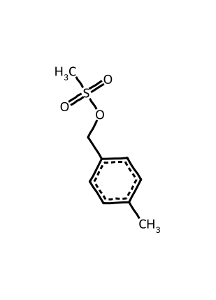 Cc1ccc(COS(C)(=O)=O)cc1